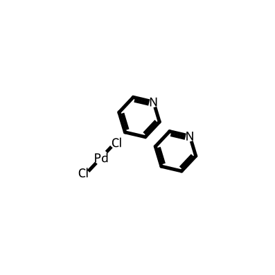 [Cl][Pd][Cl].c1ccncc1.c1ccncc1